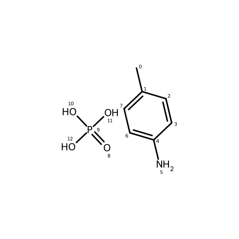 Cc1ccc(N)cc1.O=P(O)(O)O